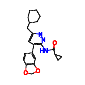 O=C(Nc1nnc(CC2CCCCC2)cc1-c1ccc2c(c1)OCO2)C1CC1